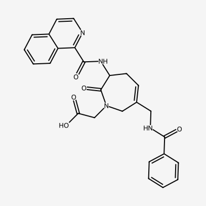 O=C(O)CN1CC(CNC(=O)c2ccccc2)=CCC(NC(=O)c2nccc3ccccc23)C1=O